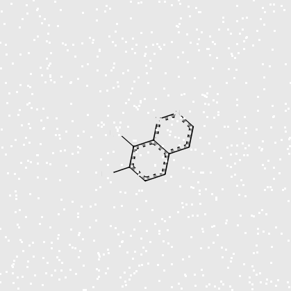 Cc1ccc2ccnnc2c1C